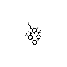 CCCCc1nc(=O)c(C(=O)N2CC[C@H](c3ccccc3)C2)c(O)n1[C@@H](C)c1ccccc1OC